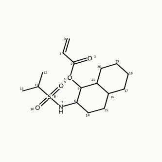 C=CC(=O)OC1C(NS(=O)(=O)C(C)C)CCC2CCCCC21